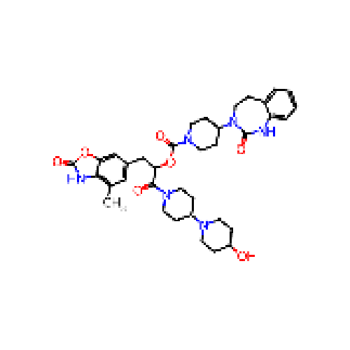 Cc1cc(CC(OC(=O)N2CCC(N3CCc4ccccc4NC3=O)CC2)C(=O)N2CCC(N3CCC(O)CC3)CC2)cc2oc(=O)[nH]c12